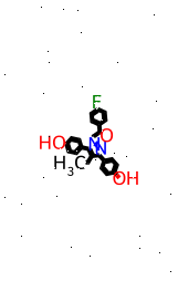 CCc1c(-c2ccc(O)cc2)nn(CC(=O)c2ccc(F)cc2)c1-c1ccc(O)cc1